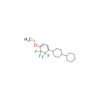 CCOC1=CC=C(C2CCC(C3CCCCC3)CC2)C(F)(F)C1(F)F